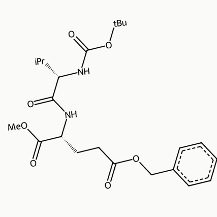 COC(=O)[C@@H](CCC(=O)OCc1ccccc1)NC(=O)[C@@H](NC(=O)OC(C)(C)C)C(C)C